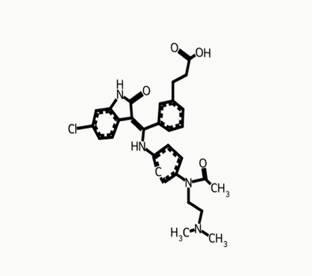 CC(=O)N(CCN(C)C)c1ccc(NC(=C2C(=O)Nc3cc(Cl)ccc32)c2cccc(CCC(=O)O)c2)cc1